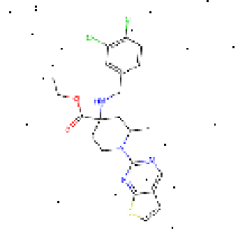 CCOC(=O)C1(NCc2ccc(Cl)c(Cl)c2)CCN(c2ncc3ccsc3n2)C(C)C1